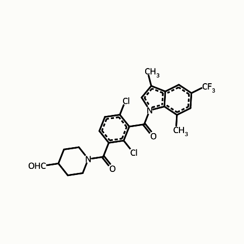 Cc1cn(C(=O)c2c(Cl)ccc(C(=O)N3CCC(C=O)CC3)c2Cl)c2c(C)cc(C(F)(F)F)cc12